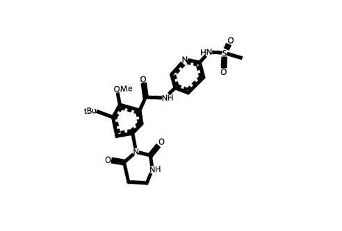 COc1c(C(=O)Nc2ccc(NS(C)(=O)=O)nc2)cc(N2C(=O)CCNC2=O)cc1C(C)(C)C